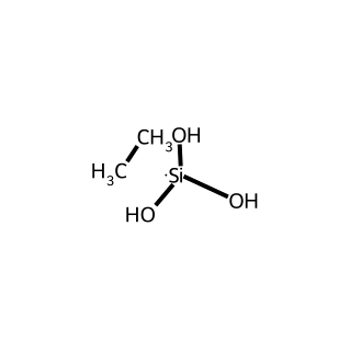 CC.O[Si](O)O